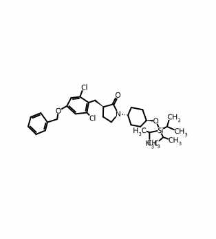 CC(C)[Si](O[C@H]1CC[C@H](N2CC[C@@H](Cc3c(Cl)cc(OCc4ccccc4)cc3Cl)C2=O)CC1)(C(C)C)C(C)C